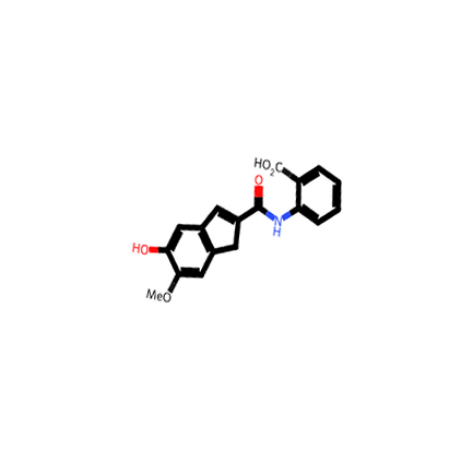 COc1cc2c(cc1O)C=C(C(=O)Nc1ccccc1C(=O)O)C2